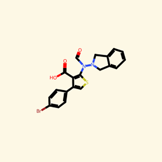 O=CN(c1scc(-c2ccc(Br)cc2)c1C(=O)O)N1Cc2ccccc2C1